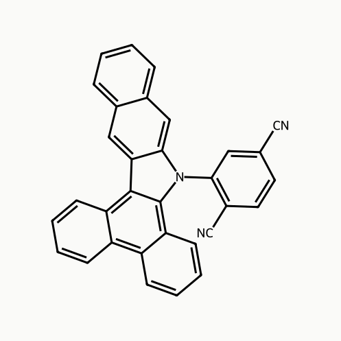 N#Cc1ccc(C#N)c(-n2c3cc4ccccc4cc3c3c4ccccc4c4ccccc4c32)c1